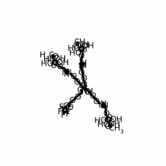 CC(=O)N[C@@H]1[C@@H](O)[C@@H](O)[C@@H](COCCc2cn(CCOCCOCCOCC(COCCOCCOCCn3cc(CCOC[C@H]4O[C@@H](O)[C@H](NC(C)=O)[C@@H](O)[C@H]4O)nn3)(COCCOCCOCCn3cc(CCOC[C@H]4O[C@@H](O)[C@H](NC(C)=O)[C@@H](O)[C@H]4O)nn3)NC(=O)CCOCCOCCC(=O)Oc3c(F)c(F)c(F)c(F)c3F)nn2)O[C@H]1O